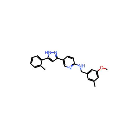 COc1cc(C)cc(CNc2ccc(-c3cc(-c4ccccc4C)[nH]n3)cn2)c1